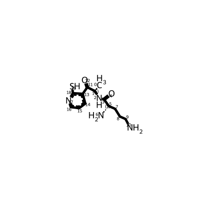 C[C@H](NC(=O)[C@@H](N)CCCN)C(=O)c1cccnc1S